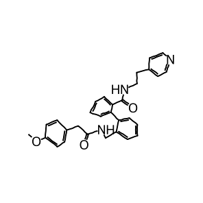 COc1ccc(CC(=O)NCc2ccccc2-c2ccccc2C(=O)NCCc2ccncc2)cc1